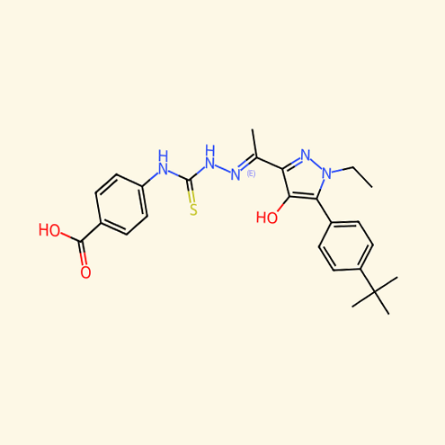 CCn1nc(/C(C)=N/NC(=S)Nc2ccc(C(=O)O)cc2)c(O)c1-c1ccc(C(C)(C)C)cc1